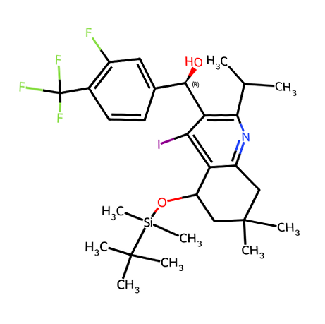 CC(C)c1nc2c(c(I)c1[C@H](O)c1ccc(C(F)(F)F)c(F)c1)C(O[Si](C)(C)C(C)(C)C)CC(C)(C)C2